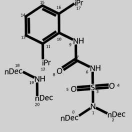 CCCCCCCCCCN(CCCCCCCCCC)S(=O)(=O)NC(=O)Nc1c(C(C)C)cccc1C(C)C.CCCCCCCCCCNCCCCCCCCCC